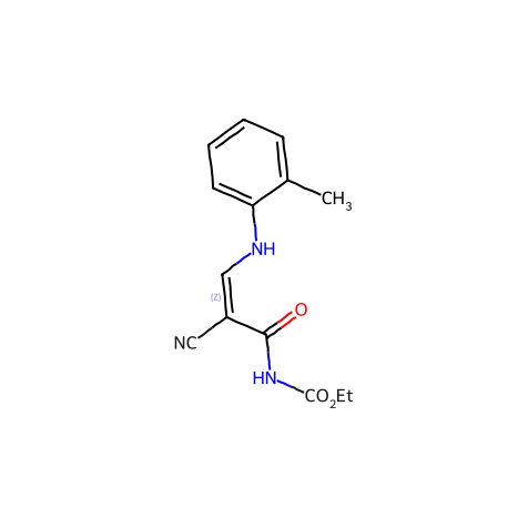 CCOC(=O)NC(=O)/C(C#N)=C\Nc1ccccc1C